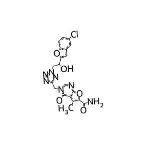 Cc1c(C(N)=O)oc2ncn(Cc3nnn(C[C@H](O)c4cc5cc(Cl)ccc5o4)n3)c(=O)c12